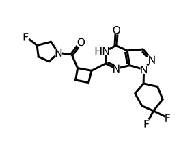 O=C(C1CCC1c1nc2c(cnn2C2CCC(F)(F)CC2)c(=O)[nH]1)N1CCC(F)C1